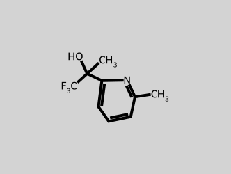 Cc1cccc(C(C)(O)C(F)(F)F)n1